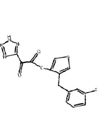 O=C(Cc1cscc1Cc1cccc(F)c1)C(=O)c1nn[nH]n1